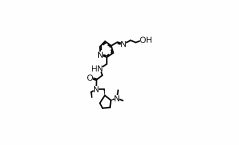 CCN(C[C@@H]1CCC[C@@H]1N(C)C)C(=O)CNCc1cc(/C=N/CCO)ccn1